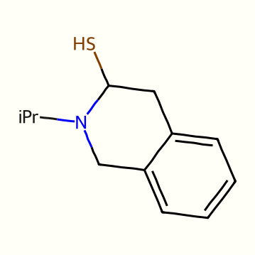 CC(C)N1Cc2ccccc2CC1S